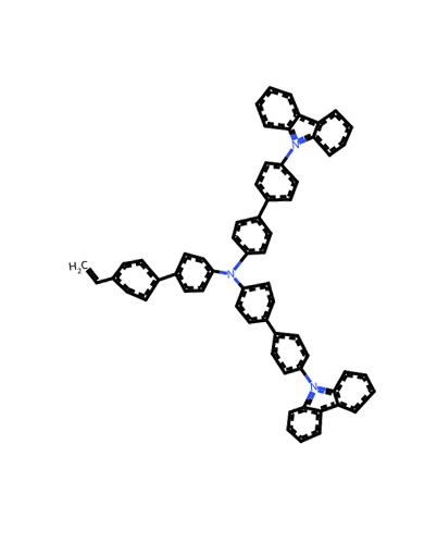 C=Cc1ccc(-c2ccc(N(c3ccc(-c4ccc(-n5c6ccccc6c6ccccc65)cc4)cc3)c3ccc(-c4ccc(-n5c6ccccc6c6ccccc65)cc4)cc3)cc2)cc1